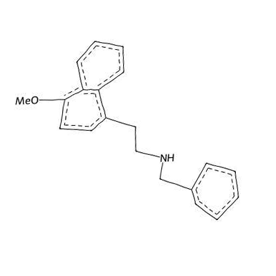 COc1ccc(CCNCc2ccccc2)c2ccccc12